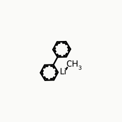 [Li][CH3].c1ccc(-c2ccccc2)cc1